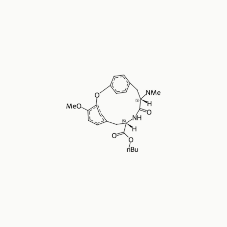 CCCCOC(=O)[C@@H]1Cc2ccc(OC)c(c2)Oc2ccc(cc2)C[C@H](NC)C(=O)N1